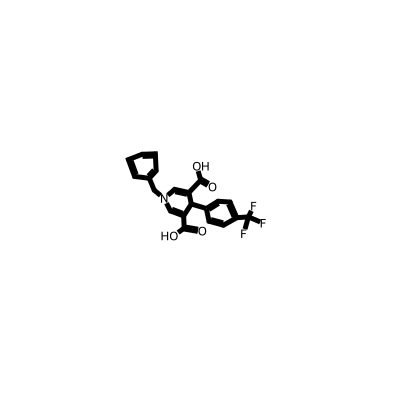 O=C(O)C1=CN(Cc2ccccc2)C=C(C(=O)O)C1c1ccc(C(F)(F)F)cc1